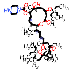 CCC(O[Si](CC)(CC)CC)[C@@H](C)[C@H]1O[C@@H]1C[C@](C)(/C=C/C=C(\C)[C@H]1OC(=O)CC(O[Si](CC)(CC)CC)CC[C@@](C)(O)[C@@H](OC(=O)N2CCNCC2)/C=C/[C@@H]1C)O[Si](CC)(CC)CC